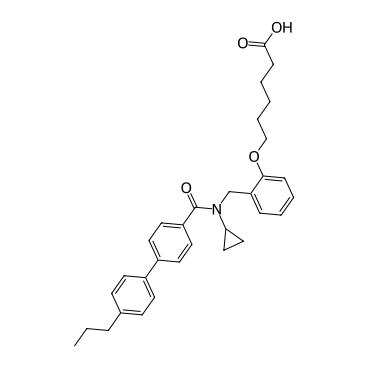 CCCc1ccc(-c2ccc(C(=O)N(Cc3ccccc3OCCCCCC(=O)O)C3CC3)cc2)cc1